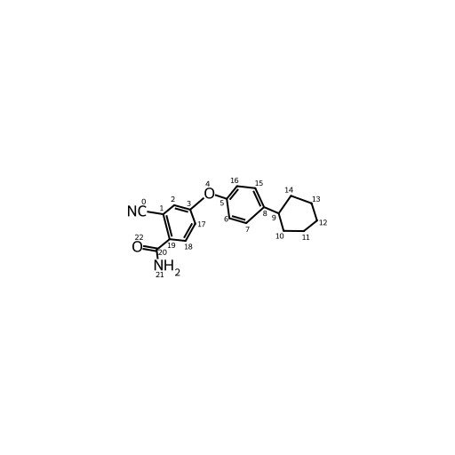 N#Cc1cc(Oc2ccc(C3CCCCC3)cc2)ccc1C(N)=O